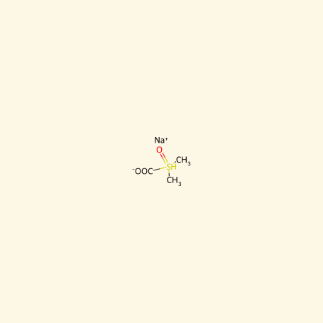 C[SH](C)(=O)C(=O)[O-].[Na+]